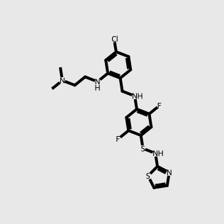 CN(C)CCNc1cc(Cl)ccc1CNc1cc(F)c(SNc2nccs2)cc1F